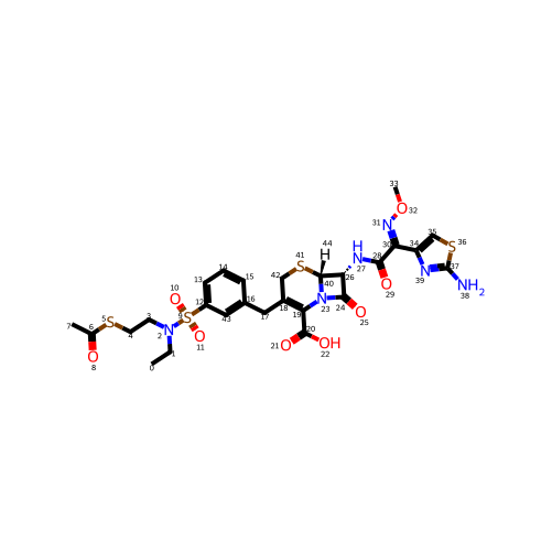 CCN(CCSC(C)=O)S(=O)(=O)c1cccc(CC2=C(C(=O)O)N3C(=O)[C@@H](NC(=O)C(=NOC)c4csc(N)n4)[C@H]3SC2)c1